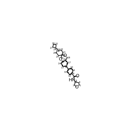 O=C(N[C@H]1CCOC1)c1ccc(-c2ccc3c(c2)COC2(CCN(C4CCC4)CC2)O3)cc1